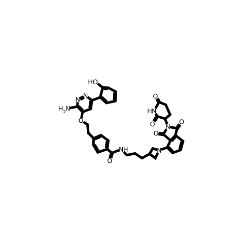 Nc1nnc(-c2ccccc2O)cc1OCCc1ccc(C(=O)NCCCC2CN(c3cccc4c3C(=O)N(C3CCC(=O)NC3=O)C4=O)C2)cc1